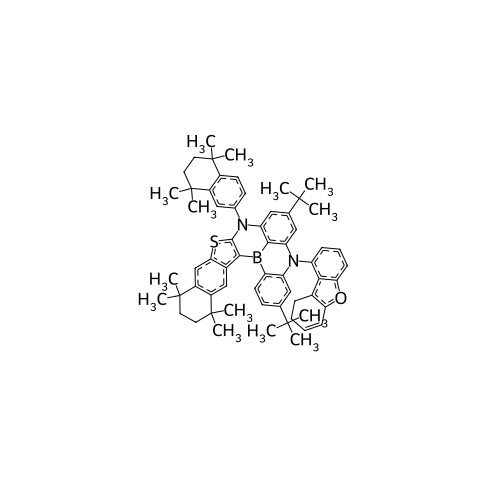 CC(C)(C)c1ccc2c(c1)N(c1cccc3oc4c(c13)CCC=C4)c1cc(C(C)(C)C)cc3c1B2c1c(sc2cc4c(cc12)C(C)(C)CCC4(C)C)N3c1ccc2c(c1)C(C)(C)CCC2(C)C